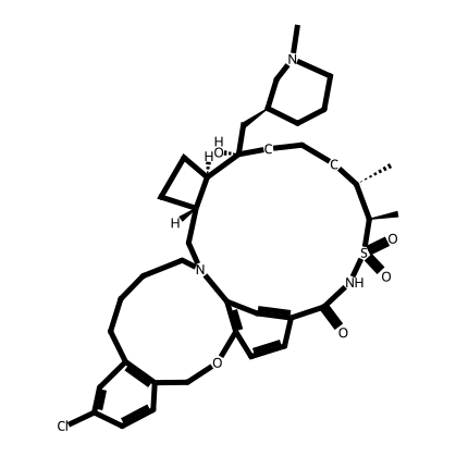 C[C@@H]1[C@@H](C)CCC[C@](O)(C[C@@H]2CCCN(C)C2)[C@@H]2CC[C@H]2CN2CCCCc3cc(Cl)ccc3COc3ccc(cc32)C(=O)NS1(=O)=O